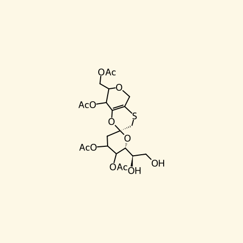 CC(=O)OCC1OCC2=C(O[C@]3(CS2)CC(OC(C)=O)C(OC(C)=O)[C@@H]([C@H](O)CO)O3)C1OC(C)=O